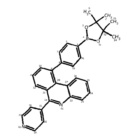 CC1(C)OB(c2ccc(-c3cccc4c(-c5ccncc5)nc5ccccc5c34)cc2)OC1(C)C